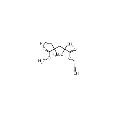 C#CCOC(=O)C(C)(C)CC(C)(CC)C(=O)OC